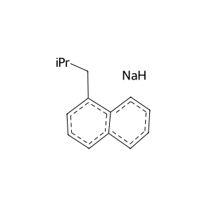 CC(C)Cc1cccc2ccccc12.[NaH]